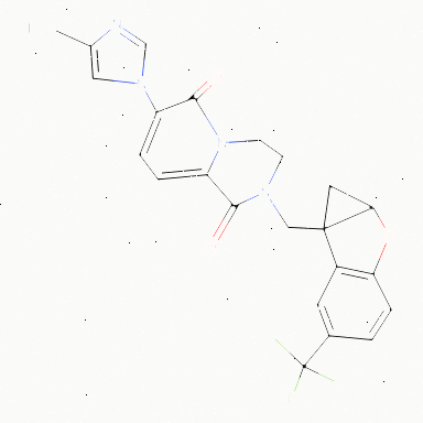 Cc1cn(-c2ccc3n(c2=O)CCN(CC24CC2Oc2ccc(C(F)(F)F)cc24)C3=O)cn1